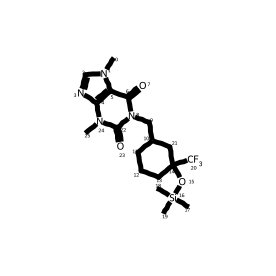 Cn1cnc2c1c(=O)n(CC1CCCC(O[Si](C)(C)C)(C(F)(F)F)C1)c(=O)n2C